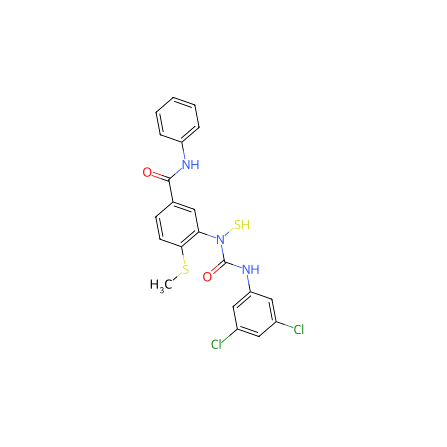 CSc1ccc(C(=O)Nc2ccccc2)cc1N(S)C(=O)Nc1cc(Cl)cc(Cl)c1